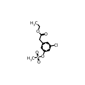 CCOC(=O)Cc1cc(Cl)cc(OS(C)(=O)=O)c1